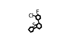 Fc1ccc(-c2cccc3c2sc2ccccc23)cc1Cl